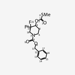 CSC(=O)OC1CCN(C(=O)OCc2ccccc2)CC1(F)F